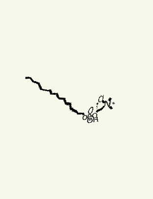 CCCCCCCCCCCCCCCCOP(=O)(O)O[C@H](CCl)C[N+](C)(C)C